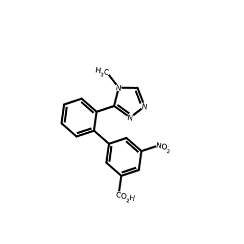 Cn1cnnc1-c1ccccc1-c1cc(C(=O)O)cc([N+](=O)[O-])c1